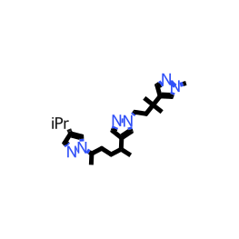 CC(C)c1cnn(C(C)CCC(C)c2cnn(CCC(C)(C)c3cnn(C)c3)c2)c1